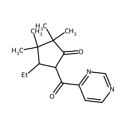 CCC1C(C(=O)c2ccncn2)C(=O)C(C)(C)C1(C)C